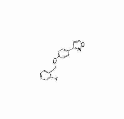 Ic1ccccc1COc1ccc(-c2ccon2)cc1